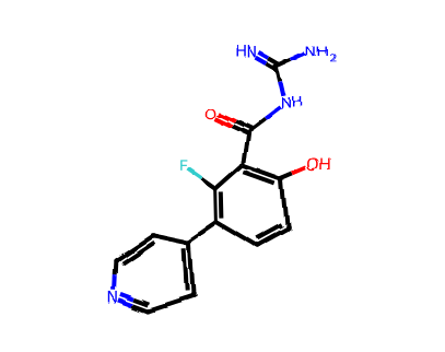 N=C(N)NC(=O)c1c(O)ccc(-c2ccncc2)c1F